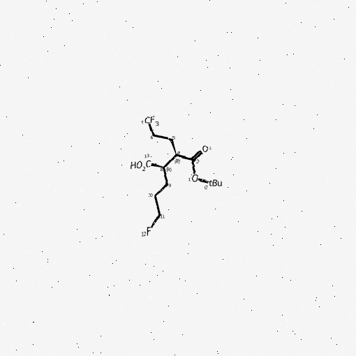 CC(C)(C)OC(=O)[C@H](CCC(F)(F)F)[C@@H](CCCF)C(=O)O